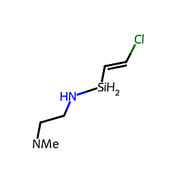 CNCCN[SiH2]C=CCl